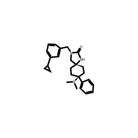 CN(C)[C@]1(c2ccccc2)CC[C@@]2(CC1)CN(Cc1cccc(C3CC3)c1)C(=O)N2